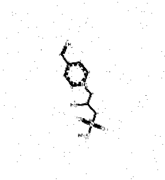 C=Cc1cc[n+](CC(O)CS(=O)(=O)OC)cc1